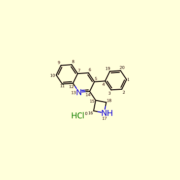 Cl.c1ccc(-c2cc3ccccc3nc2C2CNC2)cc1